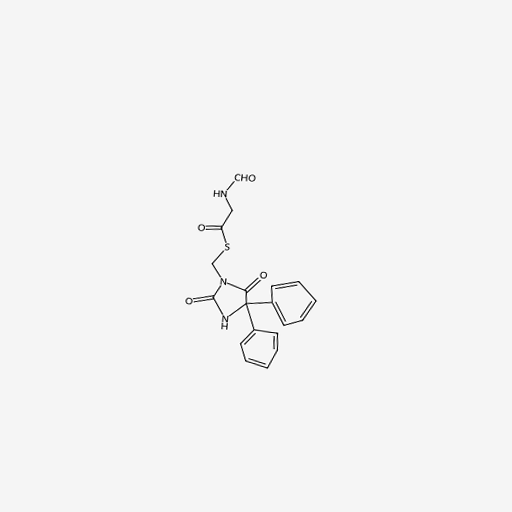 O=CNCC(=O)SCN1C(=O)NC(c2ccccc2)(c2ccccc2)C1=O